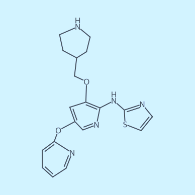 c1ccc(Oc2cnc(Nc3nccs3)c(OCC3CCNCC3)c2)nc1